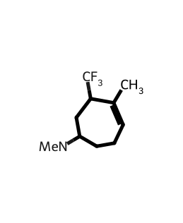 CNC1CCC=C(C)C(C(F)(F)F)C1